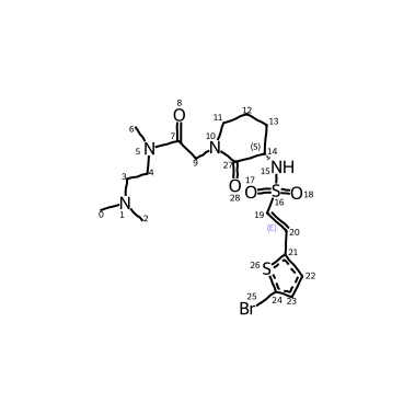 CN(C)CCN(C)C(=O)CN1CCC[C@H](NS(=O)(=O)/C=C/c2ccc(Br)s2)C1=O